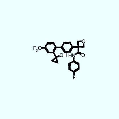 O=C(Nc1ccc(F)cc1)C1(c2ccc(-c3ccc(C(F)(F)F)cc3C3(O)CC3)cc2)COC1